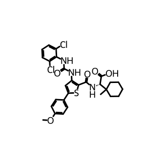 COc1ccc(-c2cc(NC(=O)Nc3c(Cl)cccc3Cl)c(C(=O)N[C@H](C(=O)O)C3(C)CCCCC3)s2)cc1